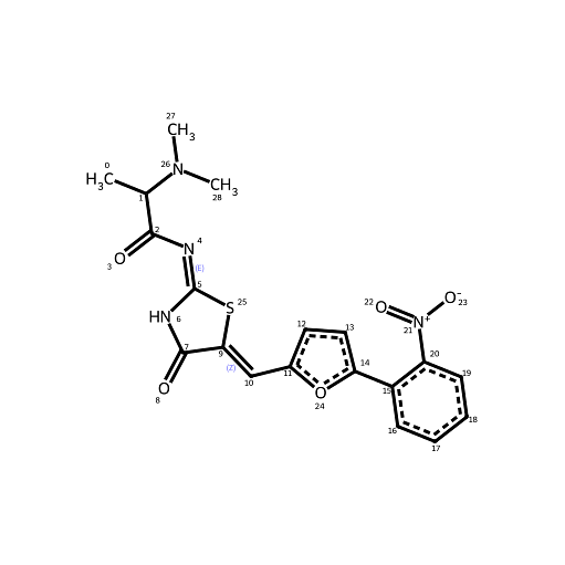 CC(C(=O)/N=C1\NC(=O)/C(=C/c2ccc(-c3ccccc3[N+](=O)[O-])o2)S1)N(C)C